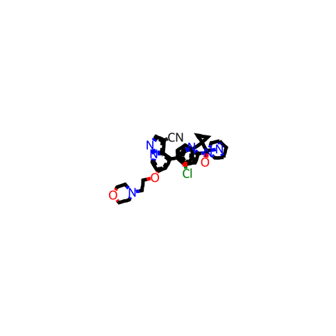 N#Cc1cnn2cc(OCCN3CCOCC3)cc(-c3ccc(N4CC5CC(C4)N5C(=O)C4(c5cccc(Cl)c5)CC4)nc3)c12